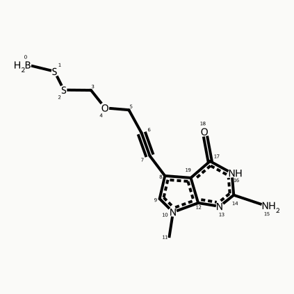 BSSCOCC#Cc1cn(C)c2nc(N)[nH]c(=O)c12